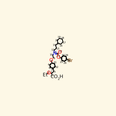 CCOC(Cc1ccc(OCCN(CCCC2CCCCC2)C(=O)Oc2ccc(Br)cc2)cc1)C(=O)O